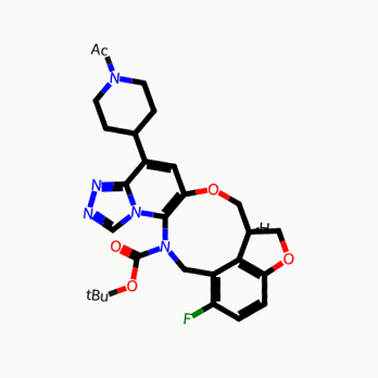 CC(=O)N1CCC(c2cc3c(n4cnnc24)N(C(=O)OC(C)(C)C)Cc2c(F)ccc4c2[C@H](CO4)CO3)CC1